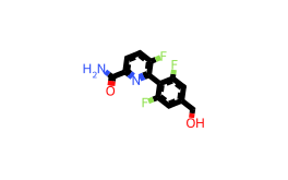 NC(=O)c1ccc(F)c(-c2c(F)cc(CO)cc2F)n1